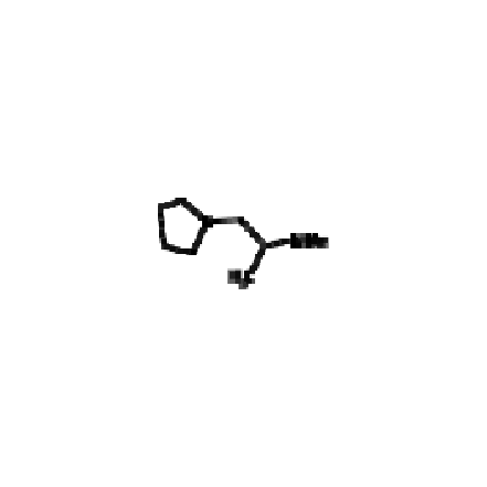 CC(=O)NC(C)CN1CCCC1